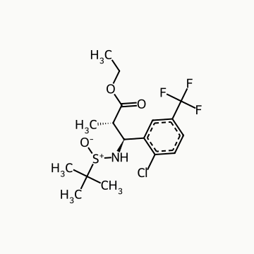 CCOC(=O)[C@@H](C)[C@H](N[S+]([O-])C(C)(C)C)c1cc(C(F)(F)F)ccc1Cl